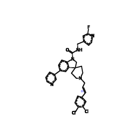 O=C(NCc1ccnc(F)c1)N1CC2(CCN(C/C=C/c3ccc(Cl)c(Cl)c3)CC2)c2cc(-c3cccnc3)ccc21